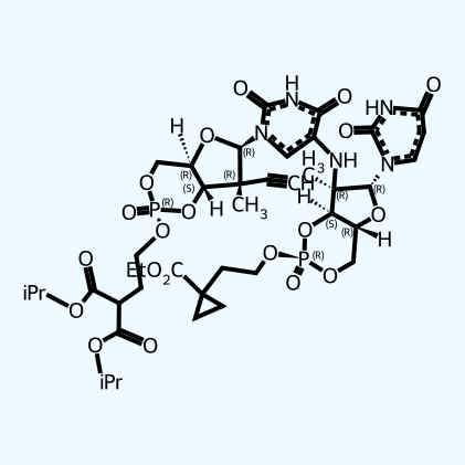 C#C[C@]1(C)[C@@H]2O[P@](=O)(OCCC(C(=O)OC(C)C)C(=O)OC(C)C)OC[C@H]2O[C@H]1n1cc(N[C@]2(C)[C@@H]3O[P@](=O)(OCCC4(C(=O)OCC)CC4)OC[C@H]3O[C@H]2n2ccc(=O)[nH]c2=O)c(=O)[nH]c1=O